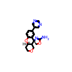 NC1=N[C@@]2(CO1)c1cc(-c3cncnc3)ccc1O[C@@H]1CCOCC12